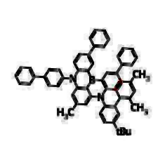 Cc1ccc(-c2cc(C(C)(C)C)ccc2N2c3ccc(-c4ccccc4)cc3B3c4cc(-c5ccccc5)ccc4N(c4ccc(-c5ccccc5)cc4)c4cc(C)cc2c43)c(C)c1